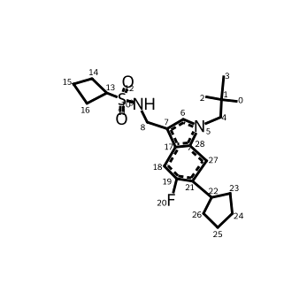 CC(C)(C)Cn1cc(CNS(=O)(=O)C2CCC2)c2cc(F)c(C3CCCC3)cc21